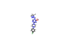 Cc1ccnn1Cn1cnc(N2CCN(c3ccc(F)cc3)CC2)nc1=O